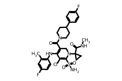 CNC(=O)C1(N2CC(C(=O)N3CCC(c4ccc(F)cc4)CC3)=C(Nc3ccc(F)cc3C)C(Cl)=C2S(N)(=O)=O)CC1